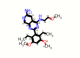 CCc1c(OC)cc(OC)c(CC)c1-c1nc(NCCOC)c2cc(N)ncc2n1